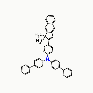 CC1(C)C(c2ccc(N(c3ccc(-c4ccccc4)cc3)c3ccc(-c4ccccc4)cc3)cc2)=Cc2cc3ccccc3cc21